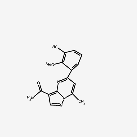 COc1c(C#N)cccc1-c1cc(C)n2ncc(C(N)=O)c2n1